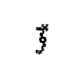 C[CH]COc1ccc(OCC(O)C(F)(F)F)cc1